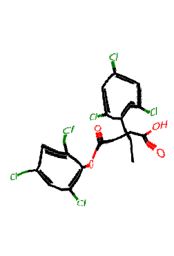 CC(C(=O)O)(C(=O)Oc1c(Cl)cc(Cl)cc1Cl)c1c(Cl)cc(Cl)cc1Cl